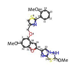 COc1cc(OCc2csc(-c3ccccc3OC)n2)c2cc(-c3cn4c(n3)SC(OC)N4)oc2c1